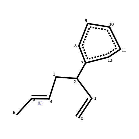 C=CC(C/C=C/C)c1ccccc1